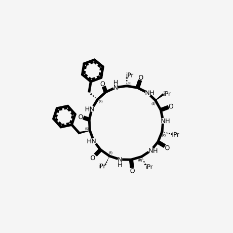 CC(C)[C@@H]1NC(=O)[C@@H](C(C)C)NC(=O)[C@@H](Cc2ccccc2)NC(=O)[C@H](Cc2ccccc2)NC(=O)[C@@H](C(C)C)NC(=O)[C@@H](C(C)C)NC(=O)[C@@H](C(C)C)NC1=O